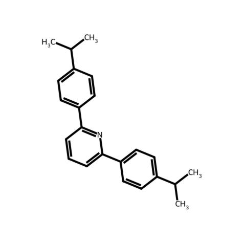 CC(C)c1ccc(-c2cccc(-c3ccc(C(C)C)cc3)n2)cc1